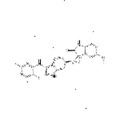 COc1ccc2c(c1)[C@]1(C[C@H]1c1ccc3c(Nc4nc(C)ncc4Cl)n[nH]c3c1)C(=O)N2